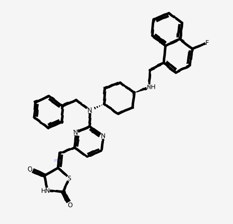 O=C1NC(=O)/C(=C/c2ccnc(N(Cc3ccccc3)[C@H]3CC[C@H](NCc4ccc(F)c5ccccc45)CC3)n2)S1